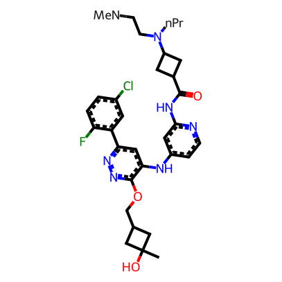 CCCN(CCNC)C1CC(C(=O)Nc2cc(Nc3cc(-c4cc(Cl)ccc4F)nnc3OCC3CC(C)(O)C3)ccn2)C1